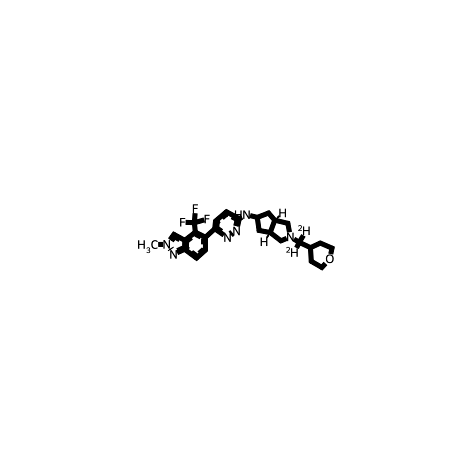 [2H]C([2H])(C1CCOCC1)N1C[C@H]2CC(Nc3ccc(-c4ccc5nn(C)cc5c4C(F)(F)F)nn3)C[C@H]2C1